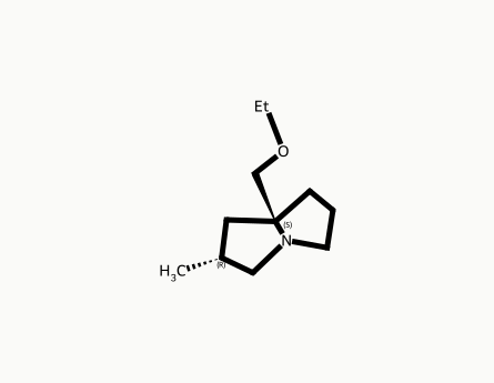 CCOC[C@@]12CCCN1C[C@H](C)C2